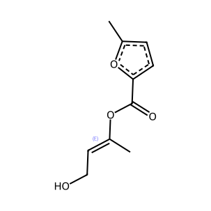 C/C(=C\CO)OC(=O)c1ccc(C)o1